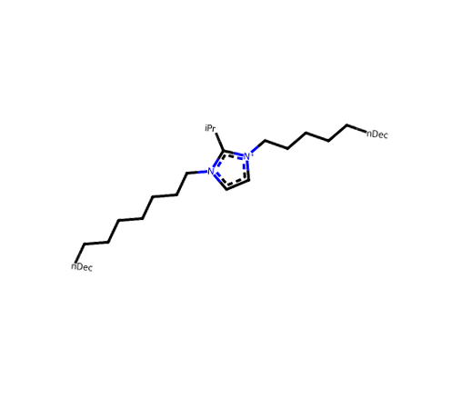 CCCCCCCCCCCCCCCCCn1cc[n+](CCCCCCCCCCCCCCC)c1C(C)C